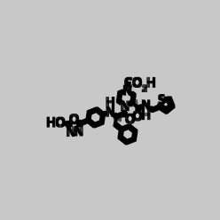 O=C(NCc1cccs1)[C@@H]1CN(C(=O)O)CCN1C(=O)[C@@H](CC1CCCCC1)NC1CCC(c2nnc(O)o2)CC1